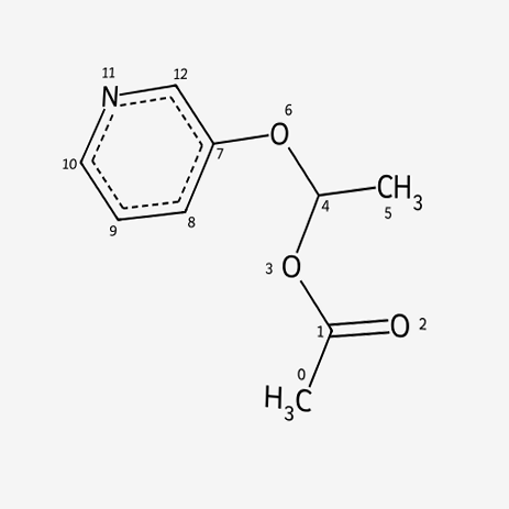 CC(=O)OC(C)Oc1cccnc1